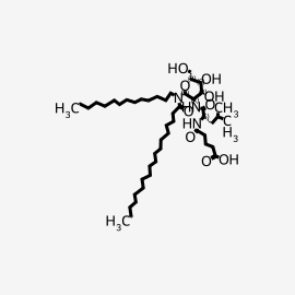 CCCCCCCCCCCCCCCCCC(=O)N(CCCCCCCCCCCCCC)[C@@H]1O[C@H](CO)[C@@H](O)[C@H](O)[C@H]1NC(=O)[C@H](CC(C)C)NC(=O)CCCC(=O)O